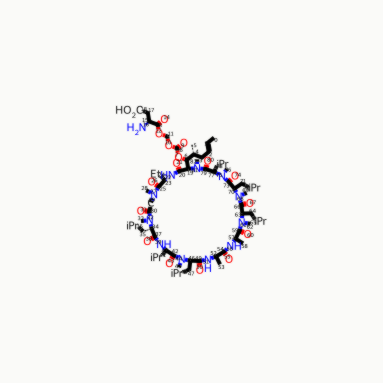 C/C=C/C[C@@H](C)C(OC(=O)OCOC(=O)[C@@H](N)CC(=O)O)C1C(=O)NC(CC)C(=O)N(C)CC(=O)N(C)[C@@H](CC(C)C)C(=O)NC(C(C)C)C(=O)N(C)C(CC(C)C)C(=O)NC(C)C(=O)NC(C)C(=O)N(C)C(CC(C)C)C(=O)N(C)C(CC(C)C)C(=O)N(C)C(C(C)C)C(=O)N1C